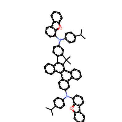 CC(C)c1ccc(N(c2ccc3c(c2)C(C)(C)c2c-3c3ccccc3c3c4ccc(N(c5ccc(C(C)C)cc5)c5cccc6c5oc5ccccc56)cc4c4ccccc4c23)c2cccc3c2oc2ccccc23)cc1